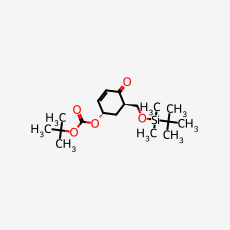 CC(C)(C)OC(=O)O[C@@H]1C=CC(=O)[C@@H](CO[Si](C)(C)C(C)(C)C)C1